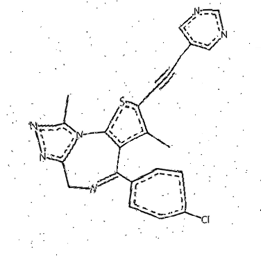 Cc1c(C#Cc2cncnc2)sc2c1C(c1ccc(Cl)cc1)=NCc1nnc(C)n1-2